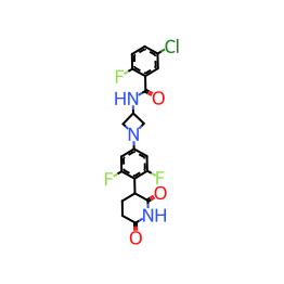 O=C1CCC(c2c(F)cc(N3CC(NC(=O)c4cc(Cl)ccc4F)C3)cc2F)C(=O)N1